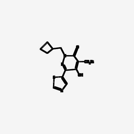 CCOC(=O)c1c(O)c(-c2cncs2)nn(CC2CCC2)c1=O